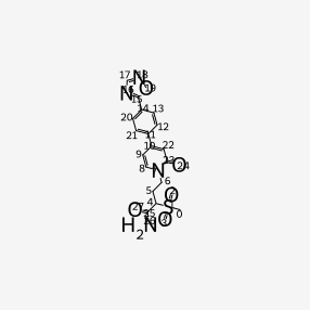 CS(=O)(=O)C(CCn1ccc(-c2ccc(-c3ncno3)cc2)cc1=O)C(N)=O